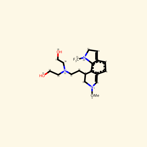 CON1C=c2ccc3c(c2C(CCN(CCO)CCO)C1)N(C(F)(F)F)CC=3